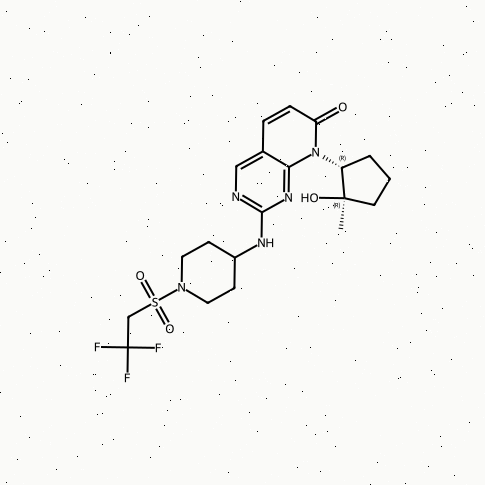 C[C@@]1(O)CCC[C@H]1n1c(=O)ccc2cnc(NC3CCN(S(=O)(=O)CC(F)(F)F)CC3)nc21